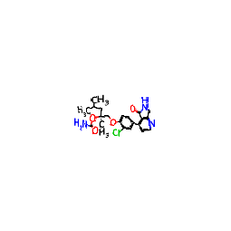 CC(C)C[C@@](C)(COc1ccc(-c2ccnc3c2C(=O)NC3)cc1Cl)OC(N)=O